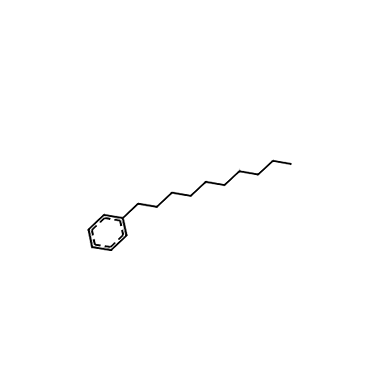 CCC[CH]CCCCCCc1ccccc1